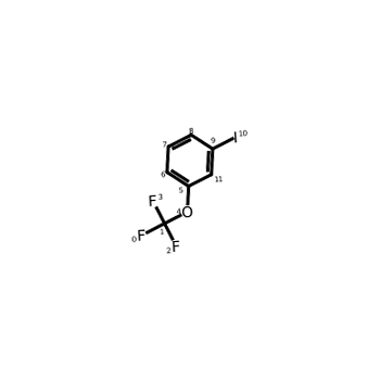 FC(F)(F)Oc1c[c]cc(I)c1